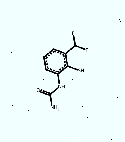 NC(=O)Nc1cccc(C(F)F)c1S